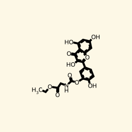 CCOC(=O)CNC(=O)Oc1cc(-c2oc3cc(O)cc(O)c3c(=O)c2O)ccc1O